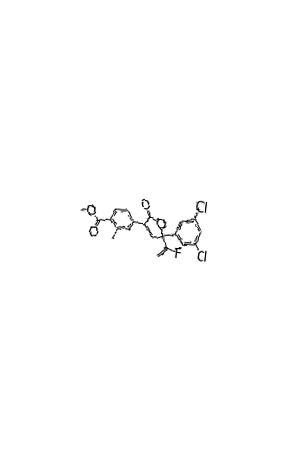 C=C(F)C1(c2cc(Cl)cc(Cl)c2)C=C(c2ccc(C(=O)OC)c(C)c2)C(=O)O1